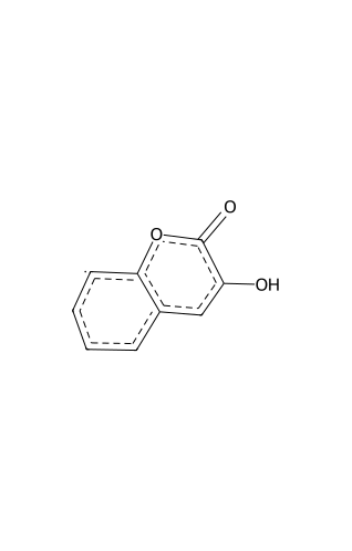 O=c1oc2[c]cccc2cc1O